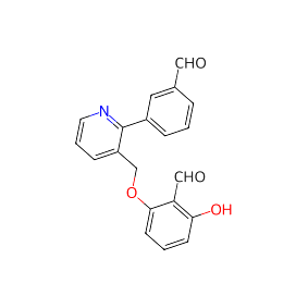 O=Cc1cccc(-c2ncccc2COc2cccc(O)c2C=O)c1